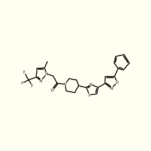 Cc1cc(C(F)(F)F)nn1CC(=O)N1CCC(c2nc(-c3cc(-c4ccccc4)on3)cs2)CC1